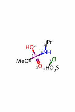 COP(=O)(O)NC(C)C.O=S(=O)(O)Cl